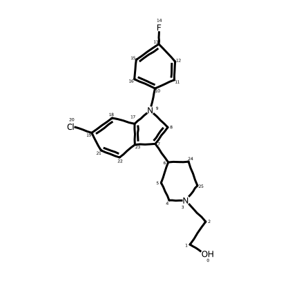 OCCN1CCC(c2cn(-c3ccc(F)cc3)c3cc(Cl)ccc23)CC1